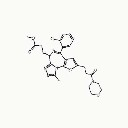 COC(=O)CCC1N=C(c2ccccc2Cl)c2cc(CCC(=O)N3CCOCC3)sc2-n2c(C)nnc21